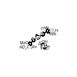 COc1cc(-c2ccc(N3CCCN(c4ccc(-c5cc(OC)c(C(=O)O)c(OC)c5)cn4)CC3)nc2)cc(OC)c1C(=O)O.O=C(O)C(F)(F)F.O=C(O)C(F)(F)F